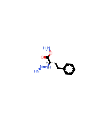 N=NN[C@@H](CCc1ccccc1)C(=O)ON